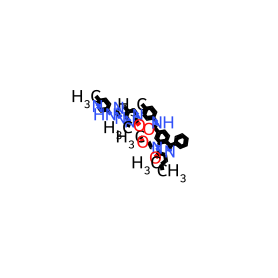 COCCN1C(=O)C(CC(C)C)N=C(c2ccccc2)c2ccc(C(=O)Nc3ccc(C)c(N4Cc5cnc(Nc6ccc(C)nc6)nc5N(C)C4=O)c3)cc21